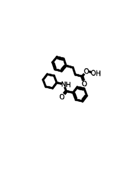 O=C(CCc1ccccc1)OO.O=C(NC1CCCCC1)c1ccccc1